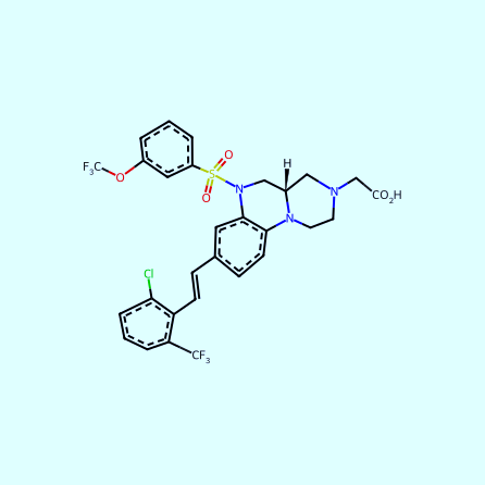 O=C(O)CN1CCN2c3ccc(/C=C/c4c(Cl)cccc4C(F)(F)F)cc3N(S(=O)(=O)c3cccc(OC(F)(F)F)c3)C[C@@H]2C1